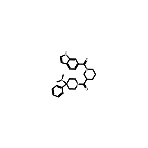 CN(C)C1(c2ccccc2)CCN(C(=O)C2CCCN(C(=O)c3ccc4cc[nH]c4c3)C2)CC1